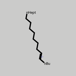 [CH2]CCCCCCCCCCCCC/C=C/CCCC